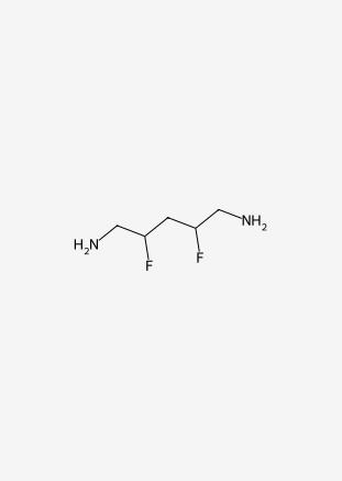 NCC(F)CC(F)CN